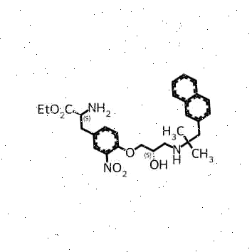 CCOC(=O)[C@@H](N)Cc1ccc(OC[C@@H](O)CNC(C)(C)Cc2ccc3ccccc3c2)c([N+](=O)[O-])c1